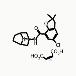 CN1C2CCC1CC(NC(=O)c1cc(Cl)cc3c1OC(C)(C)C3)C2.O=C(O)/C=C\C(=O)O